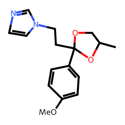 COc1ccc(C2(CCn3ccnc3)OCC(C)O2)cc1